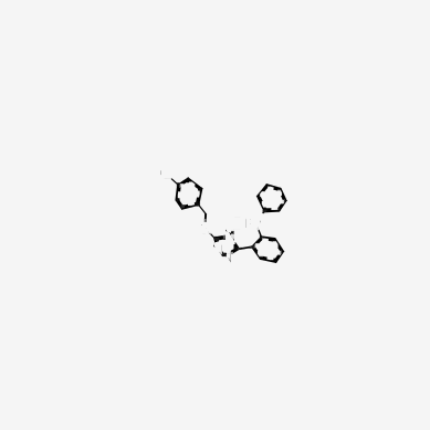 CCn1c(SCc2ccc(C(F)(F)F)cc2)nnc1-c1ccccc1Oc1ccccc1